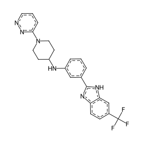 FC(F)(F)c1ccc2nc(-c3cccc(NC4CCN(c5cccnn5)CC4)c3)[nH]c2c1